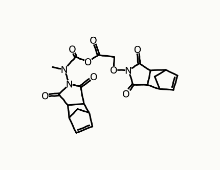 CN(C(=O)OC(=O)CON1C(=O)C2C3C=CC(C3)C2C1=O)N1C(=O)C2C3C=CC(C3)C2C1=O